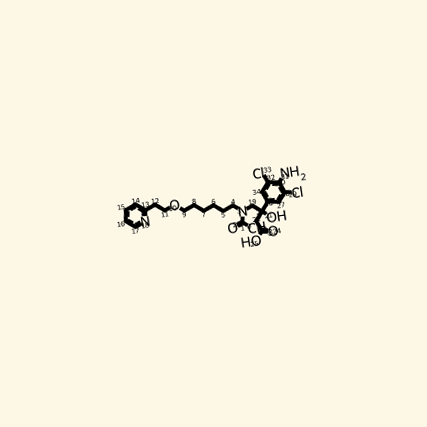 CC(=O)N(CCCCCCOCCc1ccccn1)CC(O)(CC(=O)O)c1cc(Cl)c(N)c(Cl)c1